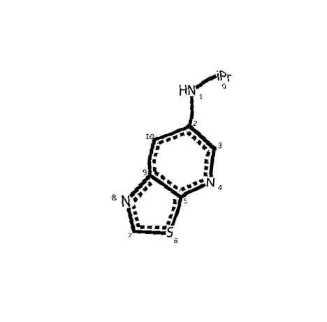 CC(C)Nc1cnc2scnc2c1